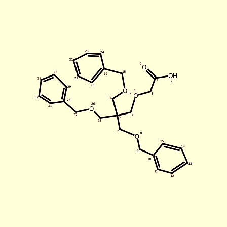 O=C(O)COCC(COCc1ccccc1)(COCc1ccccc1)COCc1ccccc1